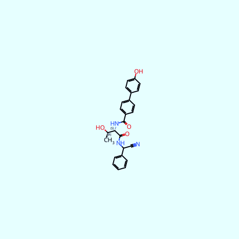 C[C@@H](O)[C@H](NC(=O)c1ccc(-c2ccc(O)cc2)cc1)C(=O)NC(C#N)c1ccccc1